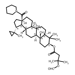 CC(C)(CC(=O)O[C@H]1CC[C@]2(C)[C@H]3CC[C@@H]4[C@H]5[C@H](C6(C)CC6)CC[C@]5(C(=O)N5CCCCC5)CC[C@@]4(C)[C@]3(C)CC[C@H]2C1(C)C)OC=O